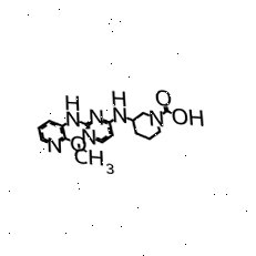 COc1ncccc1Nc1nccc(NC2CCCN(C(=O)O)C2)n1